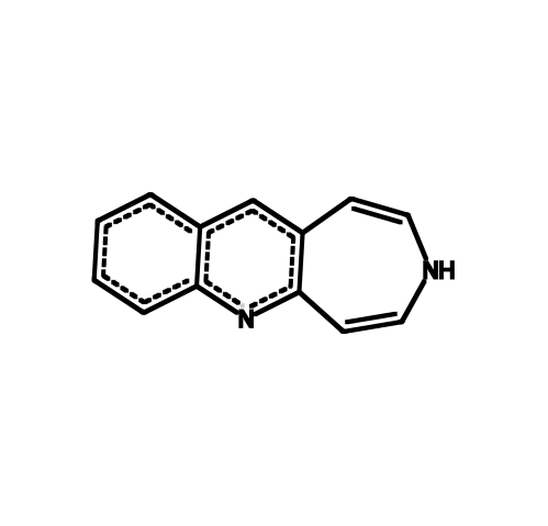 C1=Cc2cc3ccccc3nc2C=CN1